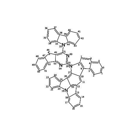 c1ccc2c(c1)ccc1c2c2cc3c4ccccc4n4c5ccccc5c(c2n1-c1nc(-n2c5ccccc5c5ccccc52)c2sc5ccccc5c2n1)c34